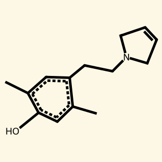 Cc1cc(CCN2CC=CC2)c(C)cc1O